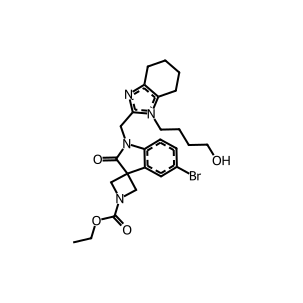 CCOC(=O)N1CC2(C1)C(=O)N(Cc1nc3c(n1CCCCO)CCCC3)c1ccc(Br)cc12